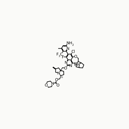 C=C1CN2[C@H](COC(=O)N3CCOCC3)CC[C@@]2(COc2nc3c4c(c(Cl)c(-c5nc(N)cc(C)c5C(F)(F)F)c(F)c4n2)OCC2C4CCC(CN32)N4)C1